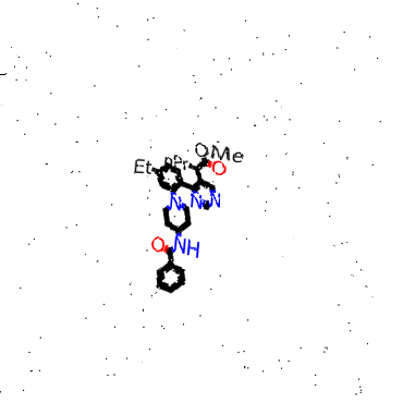 CCCC(C(=O)OC)c1cncnc1-c1ccc(CC)cc1N1CCC(NC(=O)c2ccccc2)CC1